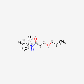 CCCOCCC(=O)NC(C)(C)C